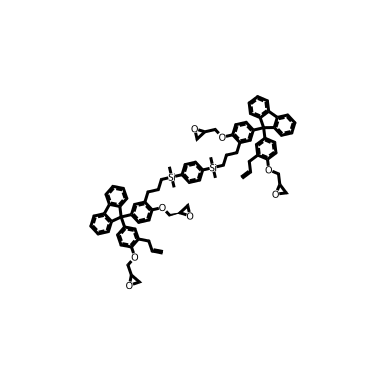 C=CCc1cc(C2(c3ccc(OCC4CO4)c(CCC[Si](C)(C)c4ccc([Si](C)(C)CCCc5cc(C6(c7ccc(OCC8CO8)c(CC=C)c7)c7ccccc7-c7ccccc76)ccc5OC[C@H]5CO5)cc4)c3)c3ccccc3-c3ccccc32)ccc1OCC1CO1